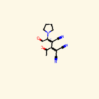 CC(=O)C(=C(C#N)C#N)/C(C#N)=C(\C=O)N1CCCC1